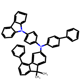 CC1(C)c2ccc(N(c3ccc(-c4ccccc4)cc3)c3ccc(-n4c5ccccc5c5ccccc54)cc3)cc2-c2c(-c3ccccc3)cccc21